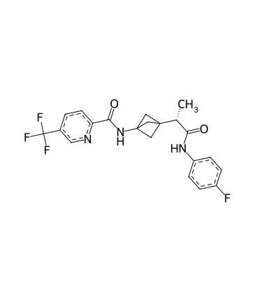 C[C@H](C(=O)Nc1ccc(F)cc1)C12CC(NC(=O)c3ccc(C(F)(F)F)cn3)(C1)C2